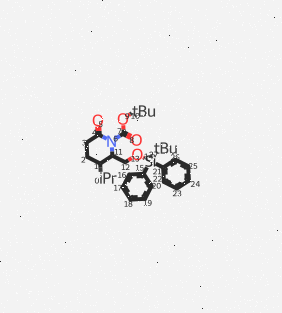 CC(C)C1CCC(=O)N(C(=O)OC(C)(C)C)C1CO[Si](c1ccccc1)(c1ccccc1)C(C)(C)C